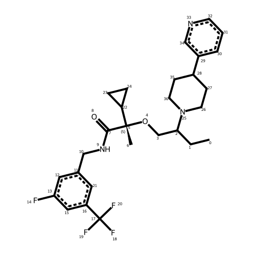 CCC(CO[C@](C)(C(=O)NCc1cc(F)cc(C(F)(F)F)c1)C1CC1)N1CCC(c2cccnc2)CC1